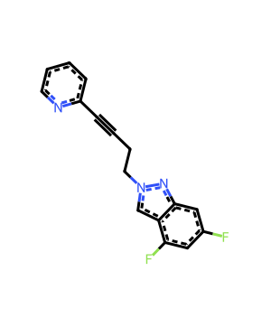 Fc1cc(F)c2cn(CCC#Cc3ccccn3)nc2c1